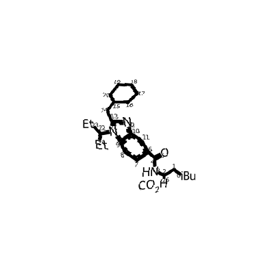 CCC(C)CC(NC(=O)c1ccc2c(c1)nc(CC1CCCCC1)n2C(CC)CC)C(=O)O